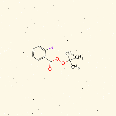 CC(C)(C)OOC(=O)c1ccccc1I